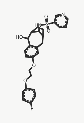 O=S(=O)(NC1C2CCC1C(O)c1ccc(OCCOc3ccc(F)cc3)cc1C2)c1cccnc1